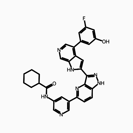 O=C(Nc1cncc(-c2ccc3[nH]nc(-c4cc5c(-c6cc(O)cc(F)c6)cncc5[nH]4)c3n2)c1)C1CCCCC1